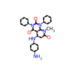 Cn1c(=O)cc(Nc2ccc(N)cc2)c2c(=O)n(-c3ccccc3)c(=O)n(-c3ccccc3)c21